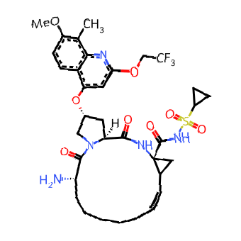 COc1ccc2c(O[C@@H]3C[C@H]4C(=O)N[C@]5(C(=O)NS(=O)(=O)C6CC6)CC5/C=C\CCCCC[C@H](N)C(=O)N4C3)cc(OCC(F)(F)F)nc2c1C